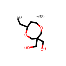 CCC(C)CC1CC([C@H](C)CC)OCC(CO)(CO)CO1